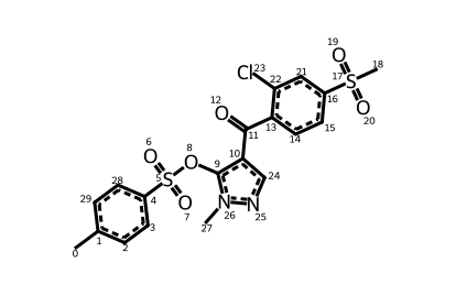 Cc1ccc(S(=O)(=O)Oc2c(C(=O)c3ccc(S(C)(=O)=O)cc3Cl)cnn2C)cc1